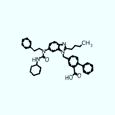 CCCCc1nc2ccc(N(CCc3ccccc3)C(=O)NC3CCCCC3)cc2n1Cc1ccc(-c2ccccc2)c(C(=O)O)c1